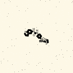 O=C(Nc1ccc(S(=O)(=O)Nc2nccs2)cc1)Nc1ccc2ncccc2c1